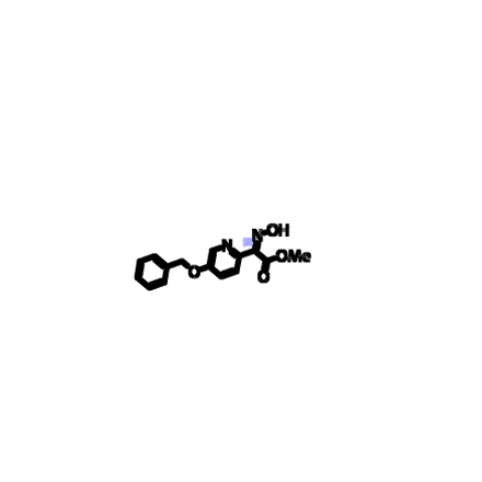 COC(=O)/C(=N\O)c1ccc(OCc2ccccc2)cn1